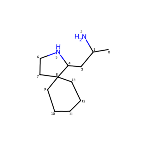 CC(N)CC1NCCC12CCCCC2